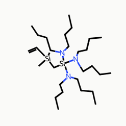 C=C[Si](C)(C)C[Si](N(CCCC)CCCC)(N(CCCC)CCCC)N(CCCC)CCCC